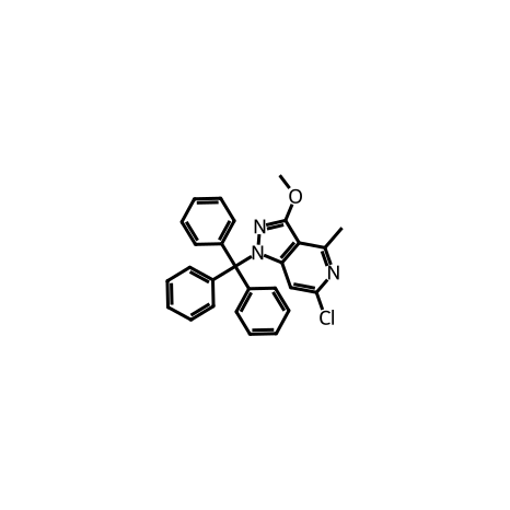 COc1nn(C(c2ccccc2)(c2ccccc2)c2ccccc2)c2cc(Cl)nc(C)c12